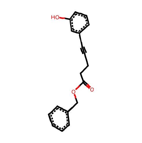 O=C(CCC#Cc1cccc(O)c1)OCc1ccccc1